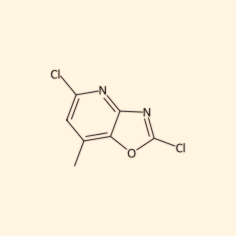 Cc1cc(Cl)nc2nc(Cl)oc12